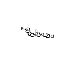 CCN(CC)Cc1cc2ccc(-n3ccc(OCc4ccc(Cl)cn4)cc3=O)cc2n1C